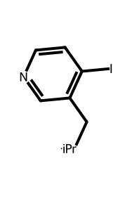 C[C](C)Cc1cnccc1I